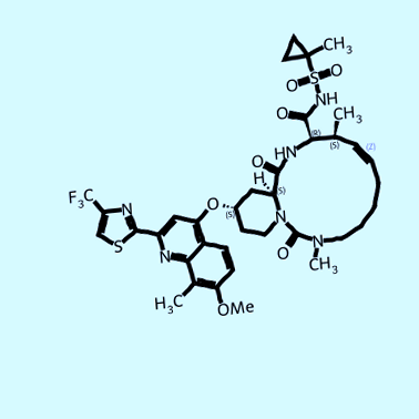 COc1ccc2c(O[C@H]3CCN4C(=O)N(C)CCCC/C=C\[C@H](C)[C@H](C(=O)NS(=O)(=O)C5(C)CC5)NC(=O)[C@@H]4C3)cc(-c3nc(C(F)(F)F)cs3)nc2c1C